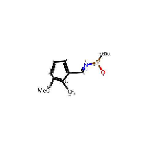 COc1cccc(/C=N/[S+]([O-])C(C)(C)C)c1C(F)(F)F